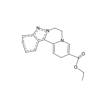 CCOC(=O)C1=CN2CCn3nc4ccccc4c3C2=CC1